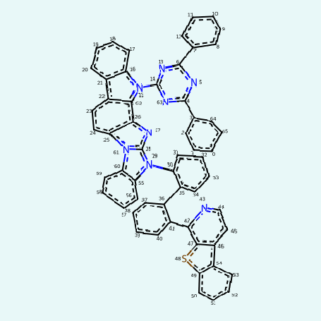 c1ccc(-c2nc(-c3ccccc3)nc(-n3c4ccccc4c4ccc5c(nc6n(-c7ccccc7-c7ccccc7-c7nccc8c7sc7ccccc78)c7ccccc7n56)c43)n2)cc1